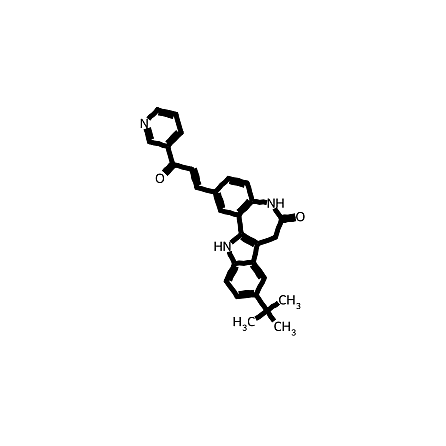 CC(C)(C)c1ccc2[nH]c3c(c2c1)CC(=O)Nc1ccc(/C=C/C(=O)c2cccnc2)cc1-3